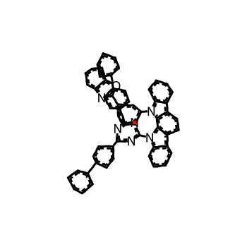 c1ccc(-c2ccc(-c3nc(-c4ccc(-c5ccccc5)cc4)nc(-n4c5ccccc5c5ccc6c7ccccc7n(-c7cccc(-c8nc9ccccc9o8)c7)c6c54)n3)cc2)cc1